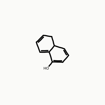 OC1=CC=CC2CC=CC=C12